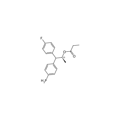 CCC(=O)O[C@@H](C)C(c1ccc(F)cc1)c1ccc(P)cc1